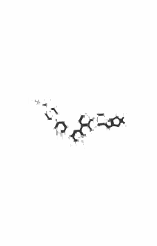 CC(=O)OCc1c(-c2cc(Nc3ccc(N4CCN(C(=O)OC(C)(C)C)CC4)cn3)c(=O)n(C)c2)ccnc1N1CCn2c(cc3c2CC(C)(C)C3)C1=O